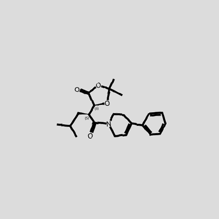 CC(C)C[C@H](C(=O)N1CC=C(c2ccccc2)CC1)[C@@H]1OC(C)(C)OC1=O